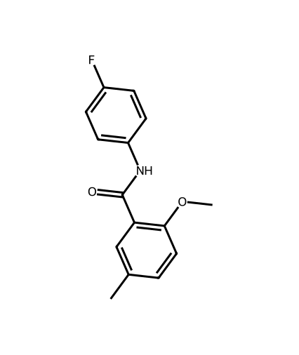 COc1ccc(C)cc1C(=O)Nc1ccc(F)cc1